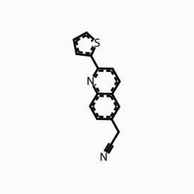 N#CCc1ccc2nc(-c3cccs3)ccc2c1